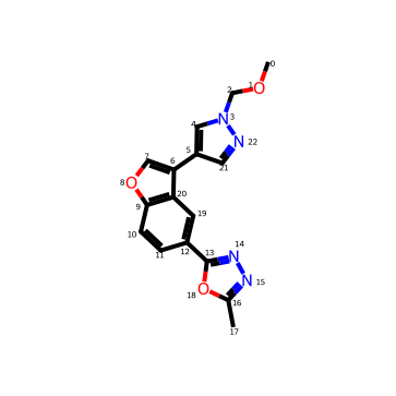 COCn1cc(-c2coc3ccc(-c4nnc(C)o4)cc23)cn1